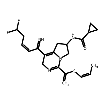 C=C(S/C=C\C)C1=NCC(C(=N)/C=C\CC(F)F)=C2CC(NC(=O)C3CC3)CN12